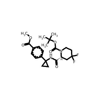 COC(=O)c1ccc(C2(NC(=O)[C@H]3CC(F)(F)CCN3C(=O)OC(C)(C)C)CC2)cc1